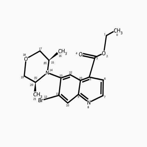 CCOC(=O)c1ccnc2cc(Br)c(N3[C@H](C)COC[C@@H]3C)cc12